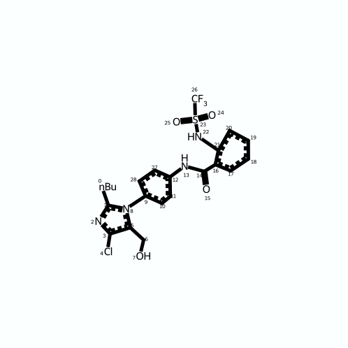 CCCCc1nc(Cl)c(CO)n1-c1ccc(NC(=O)c2ccccc2NS(=O)(=O)C(F)(F)F)cc1